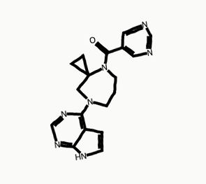 O=C(c1cncnc1)N1CCCN(c2ncnc3[nH]ccc23)CC12CC2